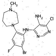 CN1CCCN(c2cc(F)c(Br)cc2Nc2ncnc(Cl)c2N)CC1